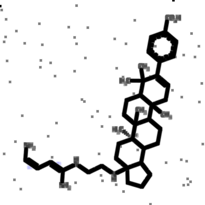 CC1(C)C(c2ccc(C(=O)O)cc2)=CCC2(C)C1CCC1(C)C2CCC2C3CCCC3(NCCN/C(N)=C/C=C\N)CC[C@]21C